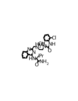 CC(C)[C@H](Nc1nc(CN(C)CCN(C)C(=O)Nc2ccccc2Cl)nc2ccccc12)C(N)=O